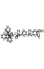 COc1cc(CNCc2cccc(CNC(=O)CCOC(=O)N(c3ccccc3-c3ccccc3)N3CC[CH]CC3)c2)ccc1O